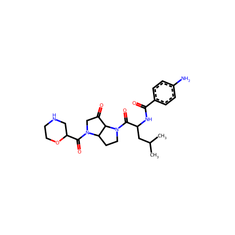 CC(C)CC(NC(=O)c1ccc(N)cc1)C(=O)N1CCC2C1C(=O)CN2C(=O)C1CNCCO1